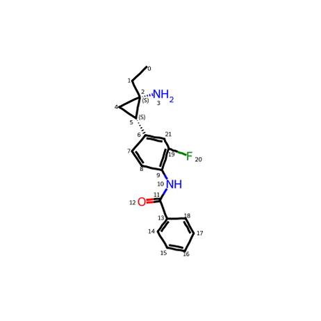 CC[C@]1(N)C[C@H]1c1ccc(NC(=O)c2ccccc2)c(F)c1